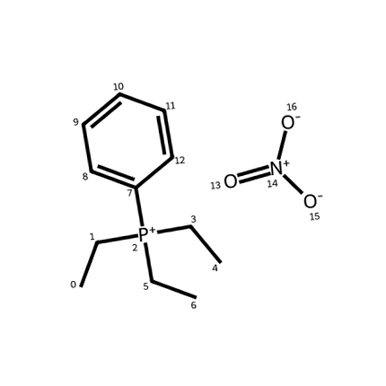 CC[P+](CC)(CC)c1ccccc1.O=[N+]([O-])[O-]